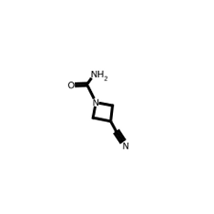 N#CC1CN(C(N)=O)C1